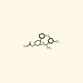 C[C@@H](OC[C@@]1(c2ccccc2)CC[C@H](OC(N)=O)CN1)c1cc(C(F)(F)F)cc(C(F)(F)F)c1